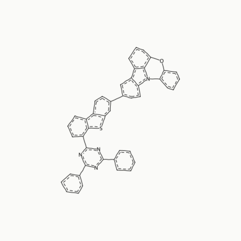 c1ccc(-c2nc(-c3ccccc3)nc(-c3cccc4c3sc3cc(-c5ccc6c(c5)c5cccc7c5n6-c5ccccc5O7)ccc34)n2)cc1